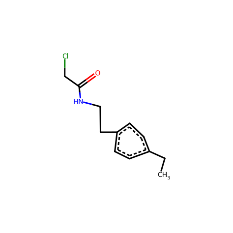 CCc1ccc(CCNC(=O)CCl)cc1